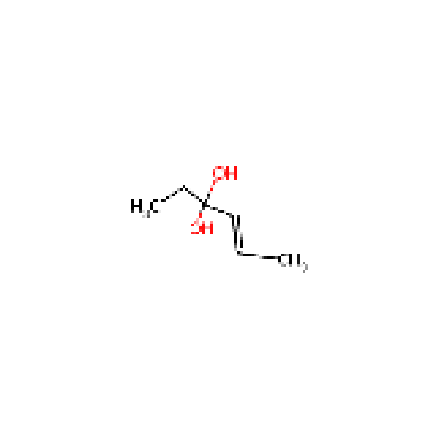 CC=CC(O)(O)CC